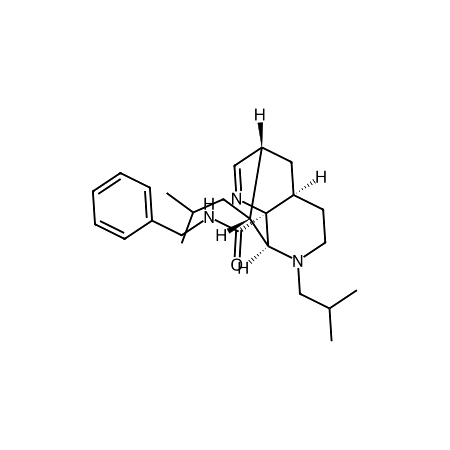 CC(C)C[C@@H]1[C@@H]2C=N[C@@]3(C(=O)NCc4ccccc4)[C@H](CCN(CC(C)C)[C@@H]13)C2